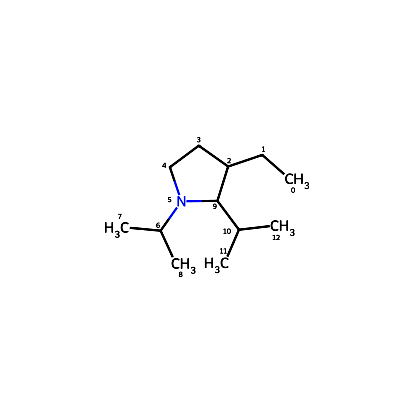 CCC1CCN(C(C)C)C1C(C)C